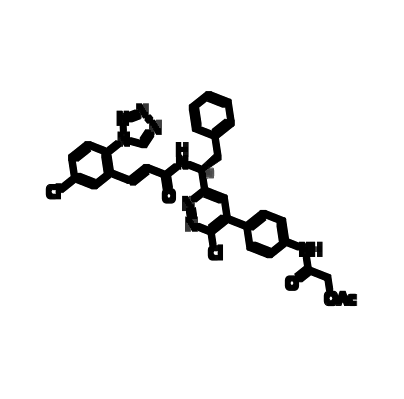 CC(=O)OCC(=O)Nc1ccc(-c2cc([C@H](Cc3ccccc3)NC(=O)C=Cc3cc(Cl)ccc3-n3cnnn3)nnc2Cl)cc1